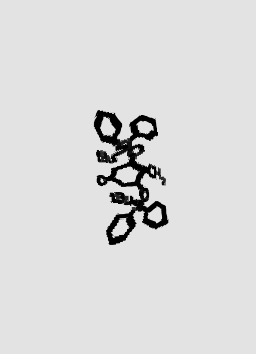 C=C1C(O[Si](c2ccccc2)(c2ccccc2)C(C)(C)C)CC(=O)CC1O[Si](c1ccccc1)(c1ccccc1)C(C)(C)C